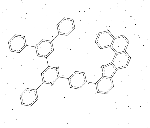 c1ccc(-c2cc(-c3ccccc3)cc(-c3cc(-c4ccccc4)nc(-c4ccc(-c5cccc6c5oc5c6ccc6ccc7ccccc7c65)cc4)n3)c2)cc1